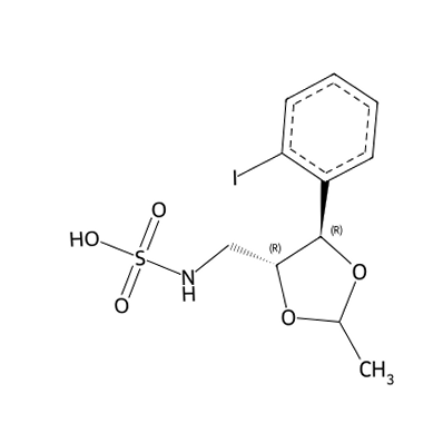 CC1O[C@H](c2ccccc2I)[C@@H](CNS(=O)(=O)O)O1